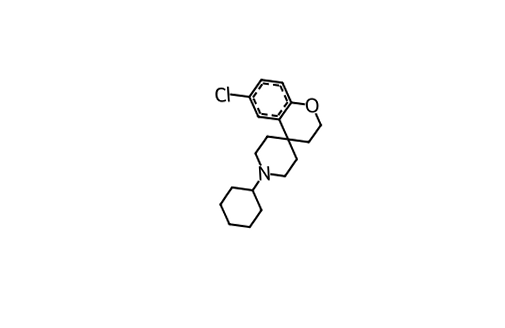 Clc1ccc2c(c1)C1(CCO2)CCN(C2CCCCC2)CC1